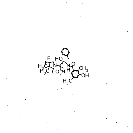 Cc1cc(O)c(C)c(C(=O)N[C@@H](Cc2ccccc2)[C@H](O)C(=O)N2CC(F)(F)C(C)(C)[C@H]2C(=O)O)c1